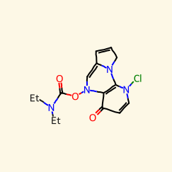 CCN(CC)C(=O)ON1C=C2C=CCN2c2c1c(=O)ccn2Cl